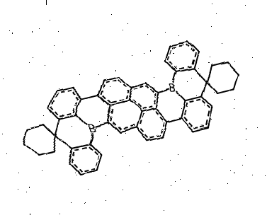 c1ccc2c(c1)B1c3c(cccc3C23CCCCC3)-c2ccc3cc4c5c(ccc6cc1c2c3c65)-c1cccc2c1B4c1ccccc1C21CCCCC1